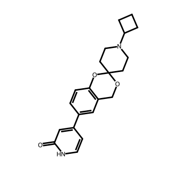 O=c1cc(-c2ccc3c(c2)COC2(CCN(C4CCC4)CC2)O3)cc[nH]1